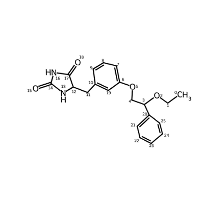 CCOC(COc1cccc(CC2NC(=O)NC2=O)c1)c1ccccc1